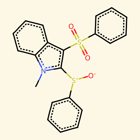 Cn1c([S+]([O-])c2ccccc2)c(S(=O)(=O)c2ccccc2)c2ccccc21